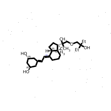 CCC(O)(CC)COCC(C)(C)[C@H]1CC[C@H]2/C(=C/C=C3C[C@@H](O)C[C@H](O)C3)CCC[C@]12C